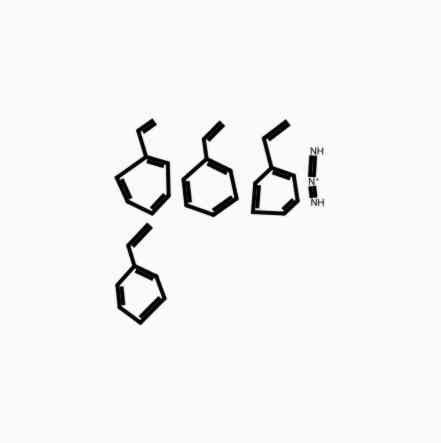 C=Cc1ccccc1.C=Cc1ccccc1.C=Cc1ccccc1.C=Cc1ccccc1.N=[N+]=N